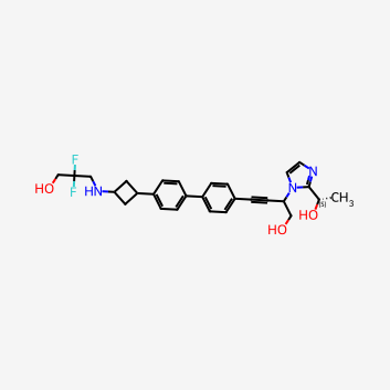 C[C@H](O)c1nccn1C(C#Cc1ccc(-c2ccc(C3CC(NCC(F)(F)CO)C3)cc2)cc1)CO